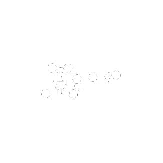 c1ccc(-c2nc(-c3cccc4sc5c(-c6ccc(-c7nc8ccccc8s7)cc6)cccc5c34)nc(-n3c4ccccc4c4ccccc43)n2)cc1